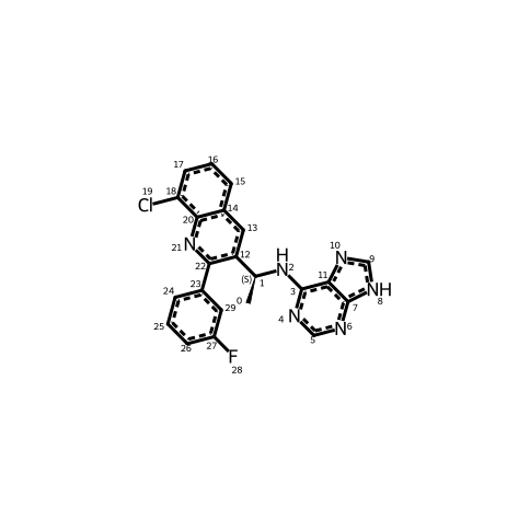 C[C@H](Nc1ncnc2[nH]cnc12)c1cc2cccc(Cl)c2nc1-c1cccc(F)c1